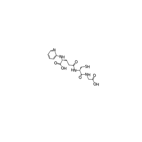 O=C(O)CNC(=O)[C@H](CS)NC(=O)CC[C@H](Nc1ccccn1)C(=O)O